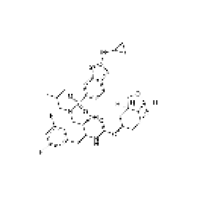 CC(C)CN(C[C@@H](O)[C@H](Cc1cc(F)cc(F)c1)NC(=O)O[C@H]1C[C@H]2CO[C@H]3OC1C[C@@H]23)S(=O)(=O)c1ccc2nc(NC3CC3)sc2c1